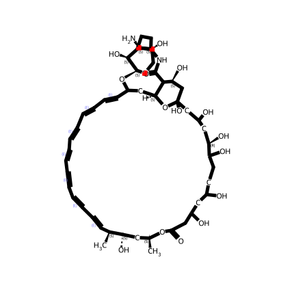 C[C@H]1C[C@H](O)[C@@H](C)/C=C/C=C/C=C/C=C/C=C/C=C/C=C/C(O[C@@H]2OC[C@@H](O)[C@H](N)[C@@H]2O)C[C@@H]2OC(O)(CC(O)C[C@@H](O)C(O)CCC(O)CC(O)CC(=O)O1)C[C@H](O)C2C(=O)NC1CCC1